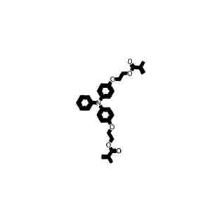 C=C(C)C(=O)OCCOc1ccc(N(c2ccccc2)c2ccc(OCCOC(=O)C(=C)C)cc2)cc1